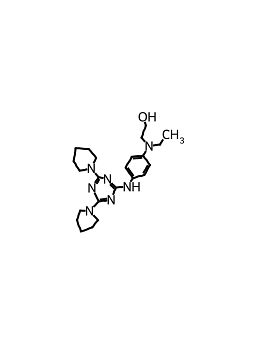 CCN(CCO)c1ccc(Nc2nc(N3CCCCC3)nc(N3CCCCC3)n2)cc1